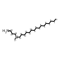 CCCCCCCCCCCCCCCCN(C)CCCN